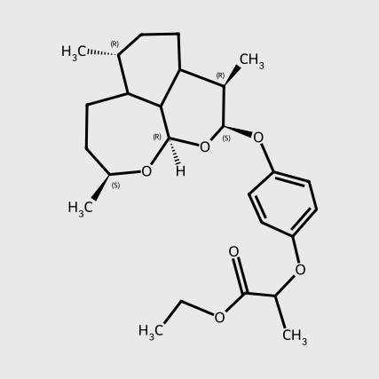 CCOC(=O)C(C)Oc1ccc(O[C@H]2O[C@H]3O[C@@H](C)CCC4C3C(CC[C@H]4C)[C@H]2C)cc1